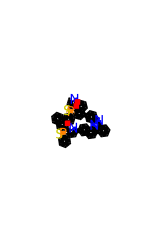 S=P(c1ccccc1)(c1ccc(-c2ccc3c(ccc4c5ccccc5c5nc6ccc(-c7ccc(P(=S)(c8ccccc8)c8ccncc8)c8ccccc78)cc6n5c34)c2)nc1)c1ccc2ccccc2c1